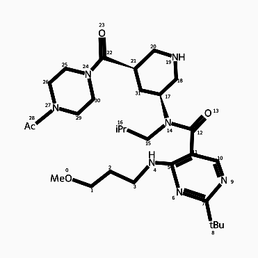 COCCCNc1nc(C(C)(C)C)ncc1C(=O)N(CC(C)C)[C@@H]1CNC[C@H](C(=O)N2CCN(C(C)=O)CC2)C1